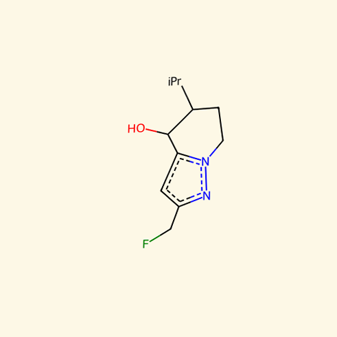 CC(C)C1CCn2nc(CF)cc2C1O